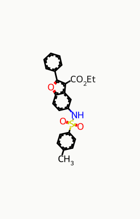 CCOC(=O)c1c(-c2ccccc2)oc2ccc(NS(=O)(=O)c3ccc(C)cc3)cc12